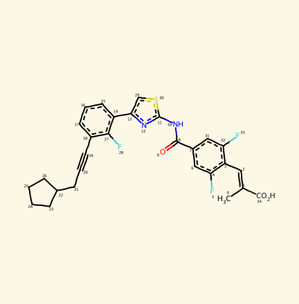 CC(=Cc1c(F)cc(C(=O)Nc2nc(-c3cccc(C#CCC4CCCC4)c3F)cs2)cc1F)C(=O)O